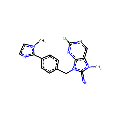 Cn1ccnc1-c1ccc(Cn2c(=N)n(C)c3cnc(Cl)nc32)cc1